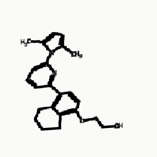 Cc1ccc(C)n1-c1cccc(-c2ccc(OCCO)c3c2CCCC3)n1